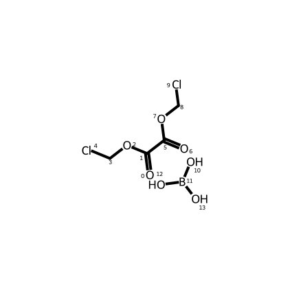 O=C(OCCl)C(=O)OCCl.OB(O)O